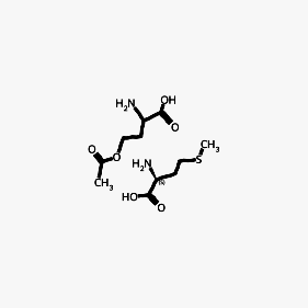 CC(=O)OCCC(N)C(=O)O.CSCC[C@H](N)C(=O)O